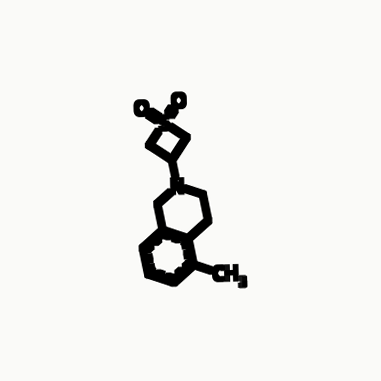 Cc1cccc2c1CCN(C1CS(=O)(=O)C1)C2